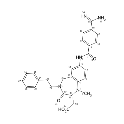 CN1c2ccc(NC(=O)c3ccc(C(=N)N)cc3)cc2CN(CCc2ccccc2)C(=O)[C@H]1CC(=O)O